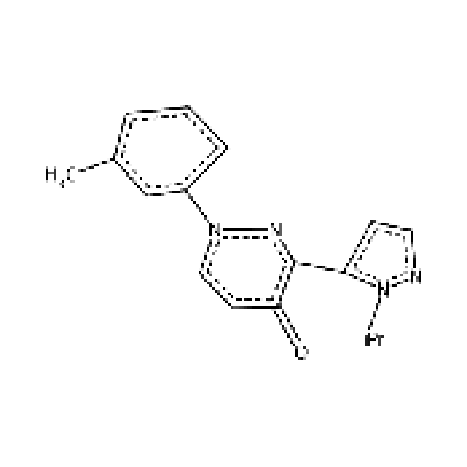 Cc1cccc(-n2ccc(=O)c(-c3ccnn3C(C)C)n2)c1